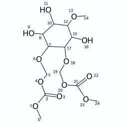 COC(=O)OCOC1C(O)C(O)C(OC)C(O)C1OCOC(=O)OC